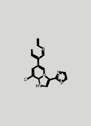 C=C/N=C\C(=C/C)C1=CN2C(c3nccs3)=CNC2C(Cl)=C1